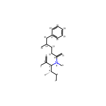 C=C(C)C([C@@H](C)CC)N(C)C(=C)CCC(C)Cc1ccccc1